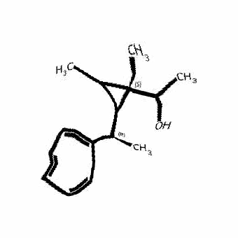 CC(O)[C@@]1(C)C(C)C1[C@@H](C)c1ccccc1